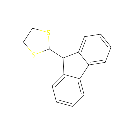 c1ccc2c(c1)-c1ccccc1C2C1SCCS1